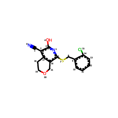 N#Cc1c(O)nc(SCc2ccccc2Cl)c2c1CCOC2